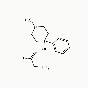 CCC(=O)O.CN1CCC(O)(c2ccccc2)CC1